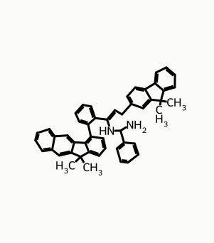 CC1(C)c2ccccc2-c2ccc(C/C=C(\NC(N)c3ccccc3)c3ccccc3-c3cccc4c3-c3cc5ccccc5cc3C4(C)C)cc21